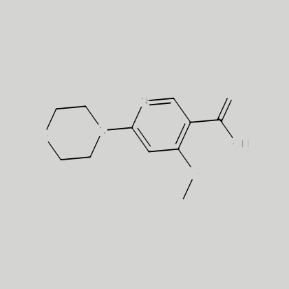 COc1cc(N2CCOCC2)ncc1C(=O)O